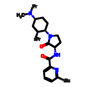 CCC[C@H]1C[C@H](N(C)C(C)C)CC[C@@H]1N1CC[C@H](NC(=O)c2cccc(C(C)(C)C)n2)C1=O